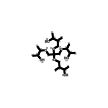 CC(O)C(C)COC(COC(C)C(C)O)(COC(C)C(C)O)OCC(C)C(C)O